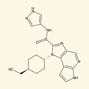 N#CC[C@H]1CC[C@H](n2c(C(=O)Nc3cn[nH]c3)nc3cnc4[nH]ccc4c32)CC1